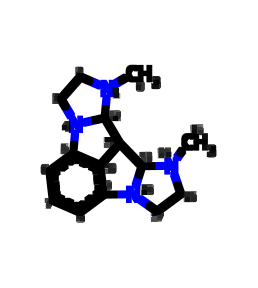 CN1CCN2c3cccc4c3C(C12)C1N(C)CCN41